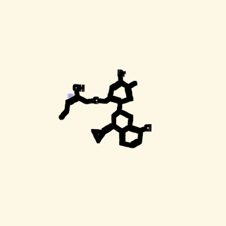 CC/C=C(/O)CCCc1cc(Br)c(C)cc1C1CC(=C2CC2)c2cccc(Cl)c2C1